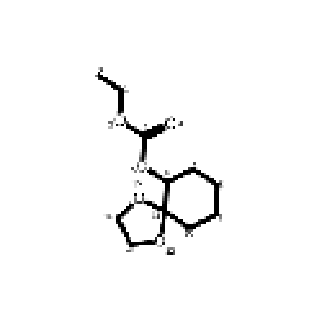 CCOC(=O)OC1CCCCC12OCCO2